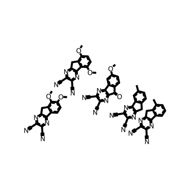 COc1ccc(OC)c2c1Cc1nc(C#N)c(C#N)nc1-2.COc1ccc2c(c1)-c1nc(C#N)c(C#N)nc1C2=O.COc1ccc2c(c1OC)Cc1nc(C#N)c(C#N)nc1-2.Cc1ccc2c(c1)-c1nc(C#N)c(C#N)nc1C2.Cc1cccc2c1Cc1nc(C#N)c(C#N)nc1-2